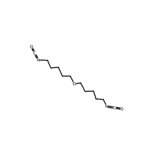 O=C=NCCCCCOCCCCCN=C=O